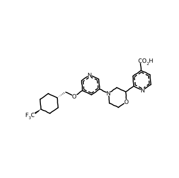 O=C(O)c1ccnc(C2CN(c3cncc(OC[C@H]4CC[C@H](C(F)(F)F)CC4)c3)CCO2)c1